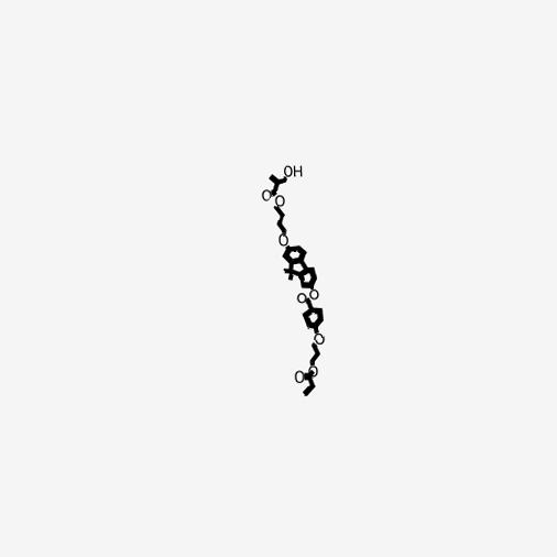 C=CC(=O)OCCCOc1ccc(C(=O)Oc2ccc3c(c2)C(C)(C)c2cc(OCCCCOC(=O)C(=C)CO)ccc2-3)cc1